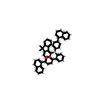 CC1(C)c2ccccc2-c2c(N(c3ccc(-c4cccc5ccccc45)cc3)c3ccccc3-c3ccc(-c4cccc5ccccc45)cc3)cccc21